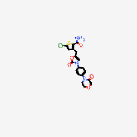 NC(=O)c1sc(Cl)cc1Cc1cn(-c2ccc(N3CCOCC3=O)cc2)c(=O)o1